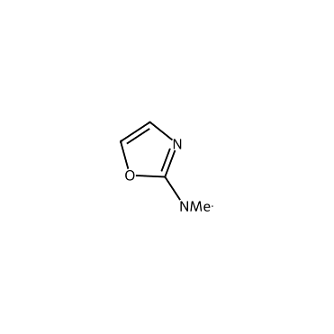 C[N]c1ncco1